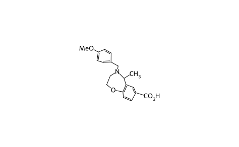 COc1ccc(CN2CCOc3ccc(C(=O)O)cc3C2C)cc1